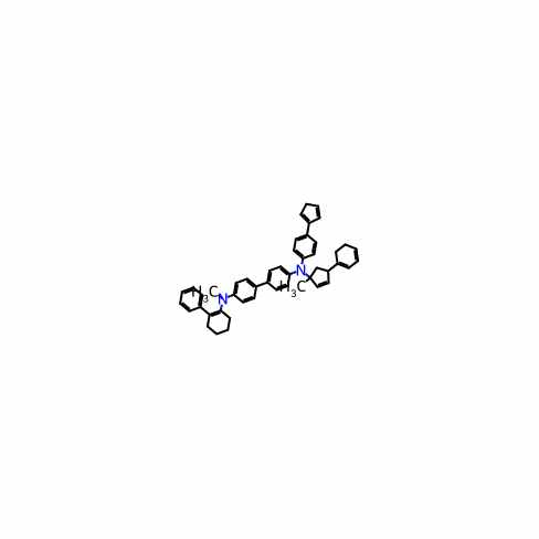 CN(C1=C(c2ccccc2)CCCC1)c1ccc(-c2ccc(N(c3ccc(C4=CCC=C4)cc3)C3(C)C=CC(C4=CC=CCC4)C3)cc2)cc1